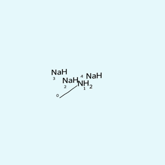 CN.[NaH].[NaH].[NaH]